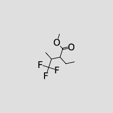 CCC(C(=O)OC)C(C)C(F)(F)F